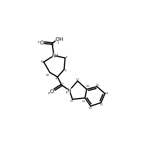 O=C(O)N1CCC(C(=O)N2Cc3ccccc3C2)CC1